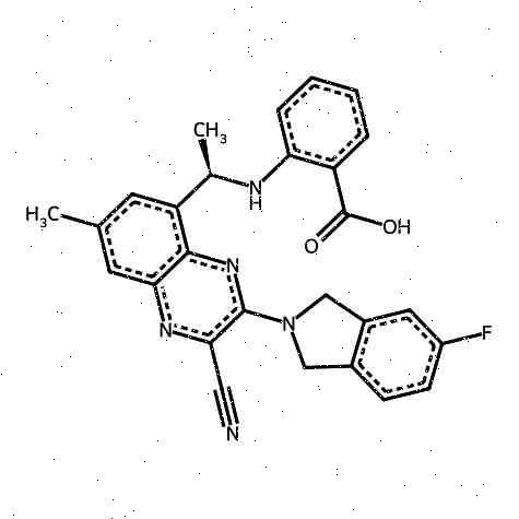 Cc1cc([C@@H](C)Nc2ccccc2C(=O)O)c2nc(N3Cc4ccc(F)cc4C3)c(C#N)nc2c1